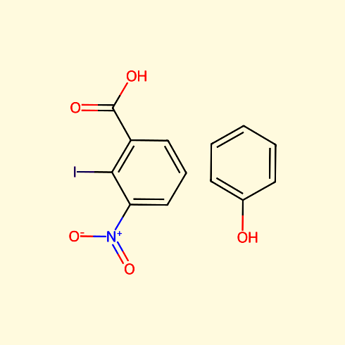 O=C(O)c1cccc([N+](=O)[O-])c1I.Oc1ccccc1